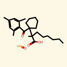 CCCCCCC(C)(C(=O)O)C1(C(=O)c2c(C)cc(C)cc2C)CCCCC1.O=P